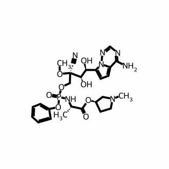 CO[C@](C#N)(COP(=O)(N[C@@H](C)C(=O)O[C@@H]1CCN(C)C1)Oc1ccccc1)[C@@H](O)[C@@H](O)c1ccc2c(N)ncnn12